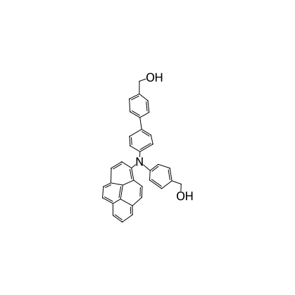 OCc1ccc(-c2ccc(N(c3ccc(CO)cc3)c3ccc4ccc5cccc6ccc3c4c56)cc2)cc1